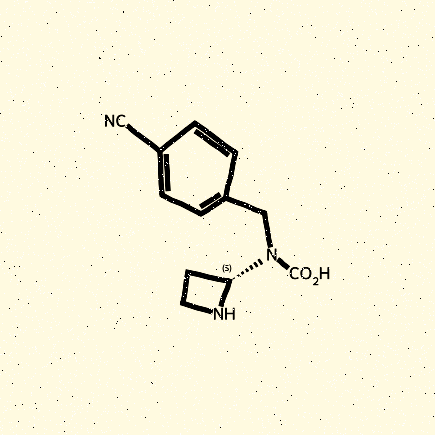 N#Cc1ccc(CN(C(=O)O)[C@H]2CCN2)cc1